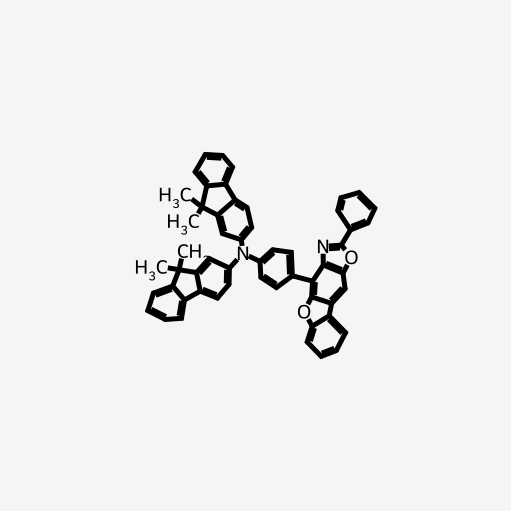 CC1(C)c2ccccc2-c2ccc(N(c3ccc(-c4c5nc(-c6ccccc6)oc5cc5c4oc4ccccc45)cc3)c3ccc4c(c3)C(C)(C)c3ccccc3-4)cc21